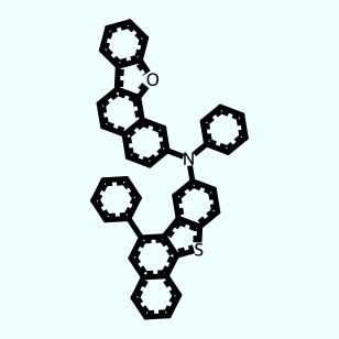 c1ccc(-c2cc3ccccc3c3sc4ccc(N(c5ccccc5)c5ccc6ccc7c8ccccc8oc7c6c5)cc4c23)cc1